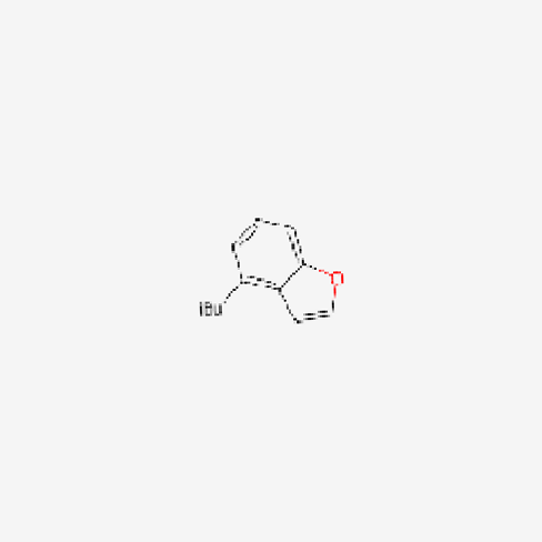 CCC(C)c1cccc2occc12